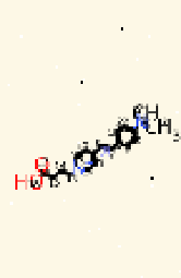 CN(C)c1ccc(/C=C/c2cc[n+](CCCC(=O)O)cc2)cc1